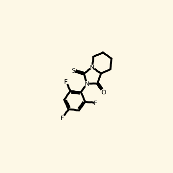 O=C1C2CCCCN2C(=S)N1c1c(F)cc(F)cc1F